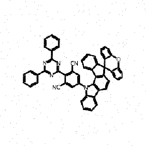 N#Cc1cc(-n2c3ccccc3c3ccc4c(c32)-c2ccccc2C42c3ccccc3Oc3ccccc32)cc(C#N)c1-c1nc(-c2ccccc2)nc(-c2ccccc2)n1